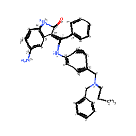 CCCN(Cc1ccccc1)Cc1ccc(NC(=C2C(=O)Nc3ccc(N)cc32)c2ccccc2)cc1